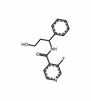 O=C(NC(CCO)c1ccccc1)c1ccncc1F